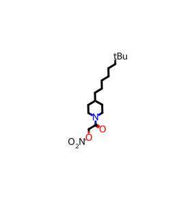 CC(C)(C)CCCCCCC1CCN(C(=O)CO[N+](=O)[O-])CC1